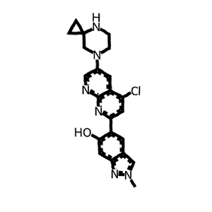 Cn1cc2cc(-c3cc(Cl)c4cc(N5CCNC6(CC6)C5)cnc4n3)c(O)cc2n1